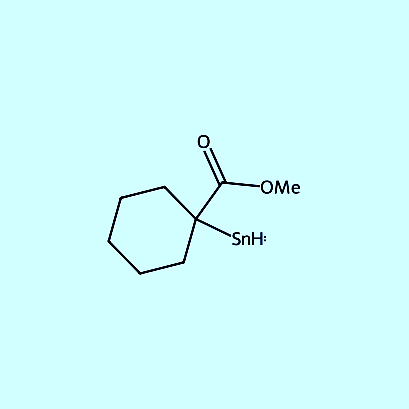 COC(=O)[C]1([SnH])CCCCC1